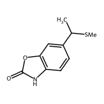 CSC(C)c1ccc2[nH]c(=O)oc2c1